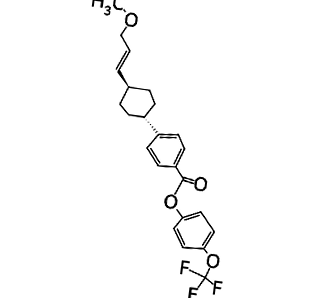 COC/C=C/[C@H]1CC[C@H](c2ccc(C(=O)Oc3ccc(OC(F)(F)F)cc3)cc2)CC1